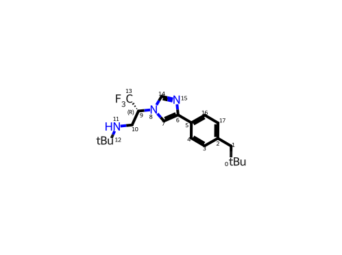 CC(C)(C)Cc1ccc(-c2cn([C@H](CNC(C)(C)C)C(F)(F)F)cn2)cc1